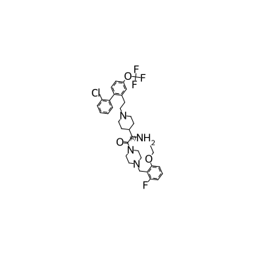 CCOc1cccc(F)c1CN1CCN(C(=O)[C@H](N)C2CCN(CCc3cc(OC(F)(F)F)ccc3-c3ccccc3Cl)CC2)CC1